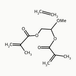 C=C.C=C(C)C(=O)OCC(OC)OC(=O)C(=C)C